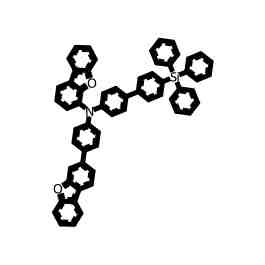 c1ccc([Si](c2ccccc2)(c2ccccc2)c2ccc(-c3ccc(N(c4ccc(-c5ccc6c(c5)oc5ccccc56)cc4)c4cccc5c4oc4ccccc45)cc3)cc2)cc1